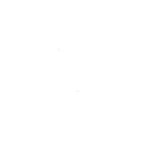 COc1ccc(C2=C(OS(C)(=O)=O)c3cccn3-c3ccccc3S2)cc1